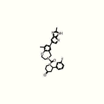 Cc1nc2cc(-c3cc(C)c4c(c3)CN(C(=O)N3CCC(=O)CC3c3cccc(F)c3)CCO4)cnc2[nH]1